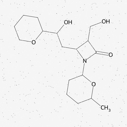 CC1CCCC(N2C(=O)C(CO)C2CC(O)C2CCCCO2)O1